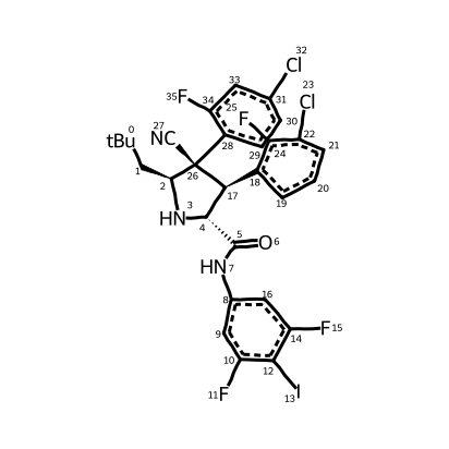 CC(C)(C)C[C@@H]1N[C@@H](C(=O)Nc2cc(F)c(I)c(F)c2)[C@H](c2cccc(Cl)c2F)[C@@]1(C#N)c1ccc(Cl)cc1F